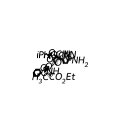 CCOC(=O)[C@H](C)N[P@](=O)(OC[C@H]1O[C@@](C#N)(c2ccc3c(N)ncnn23)[C@](C)(O)[C@@H]1OC(=O)C(C)C)Oc1ccccc1